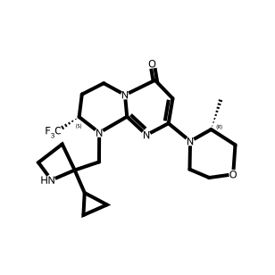 C[C@@H]1COCCN1c1cc(=O)n2c(n1)N(CC1(C3CC3)CCN1)[C@H](C(F)(F)F)CC2